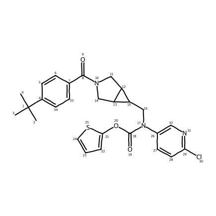 CC(C)(C)c1ccc(C(=O)N2CC3C(C2)C3CN(C(=O)Oc2cccs2)c2ccc(Cl)nc2)cc1